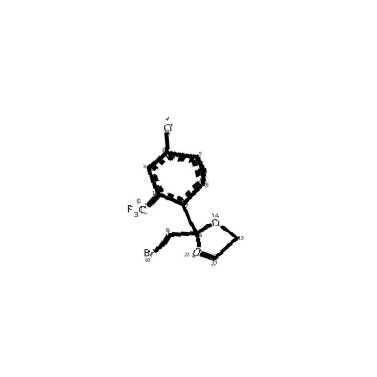 FC(F)(F)c1cc(Cl)ccc1C1(CBr)OCCO1